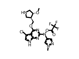 CO[C@H]1CNC[C@@H]1COc1nc(N(OC(=O)C(F)(F)F)c2cnn(C)c2)nc2[nH]cc(Cl)c12